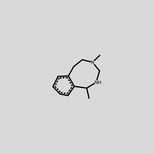 CC1NCN(C)CCc2ccccc21